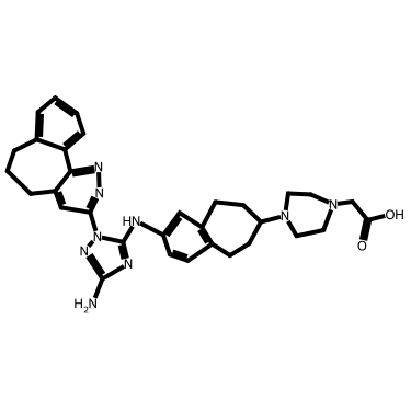 Nc1nc(Nc2ccc3c(c2)CCC(N2CCN(CC(=O)O)CC2)CC3)n(-c2cc3c(nn2)-c2ccccc2CCC3)n1